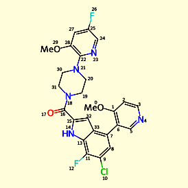 COc1ccncc1-c1cc(Cl)c(F)c2[nH]c(C(=O)N3CCN(c4ncc(F)cc4OC)CC3)cc12